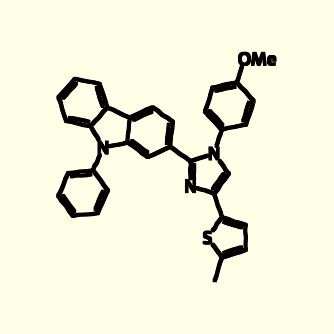 COc1ccc(-n2cc(-c3ccc(C)s3)nc2-c2ccc3c4ccccc4n(-c4ccccc4)c3c2)cc1